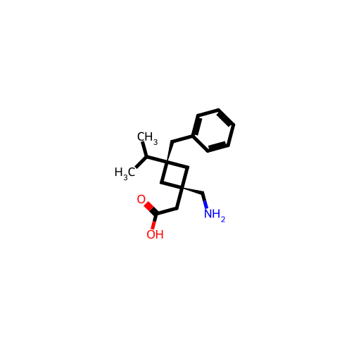 CC(C)[C@]1(Cc2ccccc2)C[C@](CN)(CC(=O)O)C1